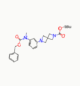 CN(C(=O)OCc1ccccc1)c1cccc(N2CC3(CN(C(=O)OC(C)(C)C)C3)C2)c1